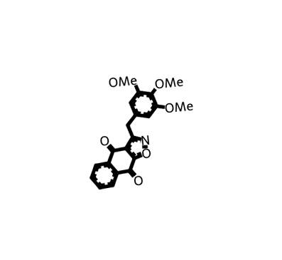 COc1cc(Cc2noc3c2C(=O)c2ccccc2C3=O)cc(OC)c1OC